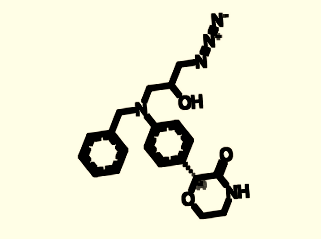 [N-]=[N+]=NCC(O)CN(Cc1ccccc1)c1ccc([C@H]2OCCNC2=O)cc1